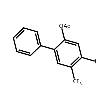 CC(=O)Oc1cc(I)c(C(F)(F)F)cc1-c1ccccc1